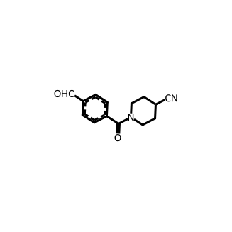 N#CC1CCN(C(=O)c2ccc(C=O)cc2)CC1